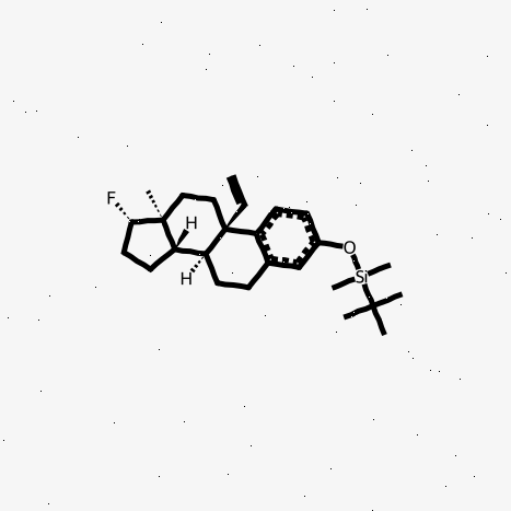 C=C[C@]12CC[C@]3(C)[C@@H](F)CC[C@H]3[C@@H]1CCc1cc(O[Si](C)(C)C(C)(C)C)ccc12